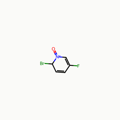 O=[N+]1C=C(F)C=CC1Br